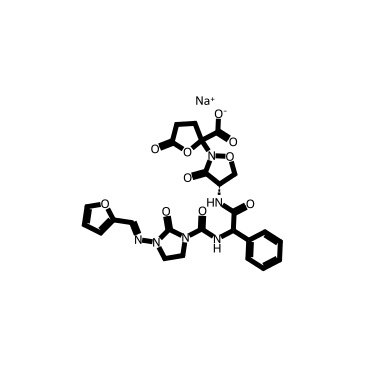 O=C1CCC(C(=O)[O-])(N2OC[C@H](NC(=O)C(NC(=O)N3CCN(N=Cc4ccco4)C3=O)c3ccccc3)C2=O)O1.[Na+]